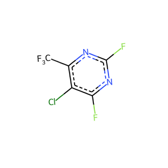 Fc1nc(F)c(Cl)c(C(F)(F)F)n1